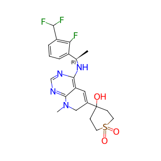 C[C@@H](Nc1ncnc2c1C=C(C1(O)CCS(=O)(=O)CC1)CN2C)c1cccc(C(F)F)c1F